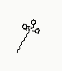 CCCCCCCCCCCC[PH](Cc1ccccc1)(Cc1ccccc1)Cc1ccccc1